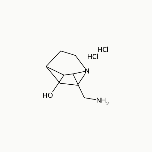 Cl.Cl.NCC1C(O)C2CCN1CC2